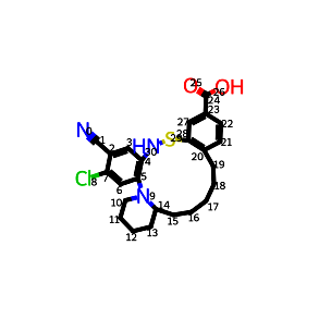 N#Cc1cc2c(cc1Cl)N1CCCCC1CCCCCc1ccc(C(=O)O)cc1SN2